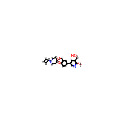 COc1ncc(-c2ccc3c(c2)COC2(CCN(C4CCC4)CC2)O3)cc1CO